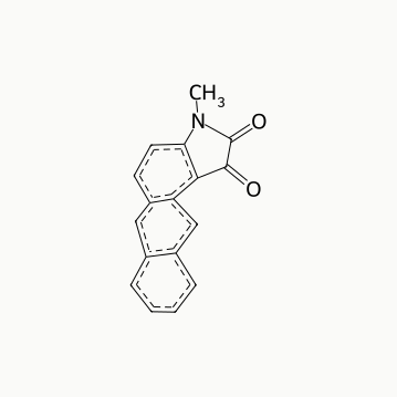 CN1C(=O)C(=O)c2c1ccc1cc3ccccc3cc21